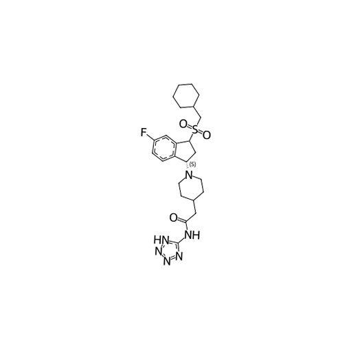 O=C(CC1CCN([C@H]2CC(S(=O)(=O)CC3CCCCC3)c3cc(F)ccc32)CC1)Nc1nnn[nH]1